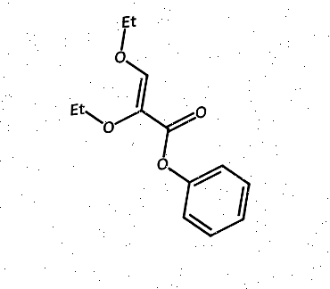 CCOC=C(OCC)C(=O)Oc1ccccc1